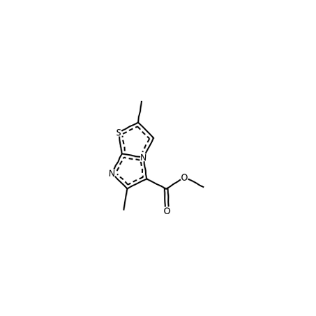 COC(=O)c1c(C)nc2sc(C)cn12